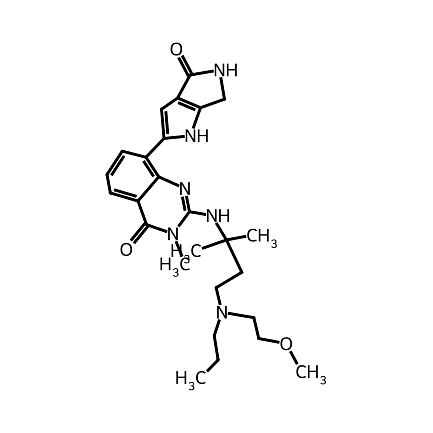 CCCN(CCOC)CCC(C)(C)Nc1nc2c(-c3cc4c([nH]3)CNC4=O)cccc2c(=O)n1C